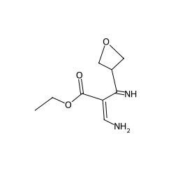 CCOC(=O)/C(=C/N)C(=N)C1COC1